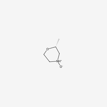 C[C@@H]1C[NH+]([O-])CCO1